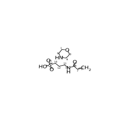 C1COCCN1.C=CC(=O)NCCCS(=O)(=O)O